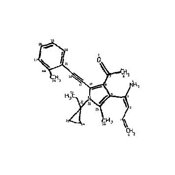 C=C/C=C(/N)c1c(C(C)=O)c(C#Cc2ccccc2C)n(C2(C)CC2)c1C